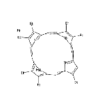 CCC1=CC2=NC1(CC)Cc1[nH]c(c(CC)c1CC)C=C1N=C(C=c3[nH]c(c(CC)c3CC)=C2)C(CC)=C1CC.[Pt]